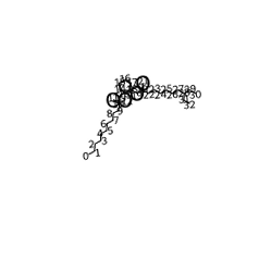 CCCCCCCCCCC(=O)Oc1ccccc1OC(=O)CCCCCCC(CC)CC